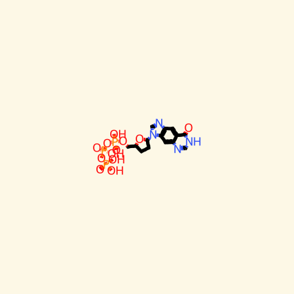 O=c1[nH]cnc2cc3c(cc12)ncn3C1CCC(COP(=O)(O)OP(=O)(O)OP(=O)(O)O)O1